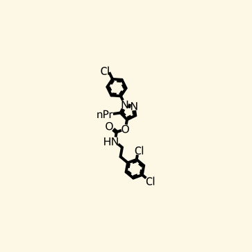 CCCc1c(OC(=O)NCCc2ccc(Cl)cc2Cl)cnn1-c1ccc(Cl)cc1